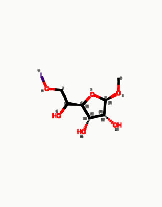 CO[C@@H]1O[C@H](C(O)COI)[C@@H](O)[C@H]1O